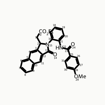 CCOC(=O)CC1c2cc3ccccc3cc2C(=O)N1c1ccccc1NC(=O)c1ccc(OC)cc1